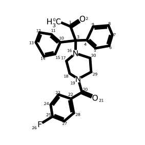 CC(=O)C(c1ccccc1)(c1ccccc1)N1CCN(C(=O)c2ccc(F)cc2)CC1